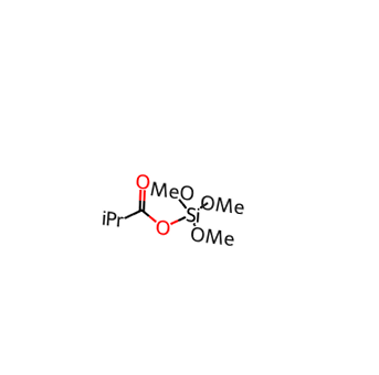 CO[Si](OC)(OC)OC(=O)C(C)C